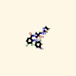 O=C(c1ccc(F)c(F)c1Nc1ccc(I)cc1F)N1CC(O)(CNc2nccs2)C1